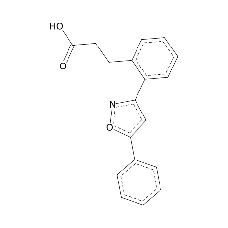 O=C(O)CCc1ccccc1-c1cc(-c2ccccc2)on1